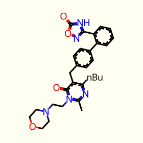 CCCCc1nc(C)n(CCN2CCOCC2)c(=O)c1Cc1ccc(-c2ccccc2-c2noc(=O)[nH]2)cc1